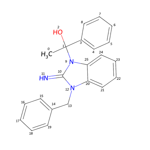 CC(O)(c1ccccc1)n1c(=N)n(Cc2ccccc2)c2ccccc21